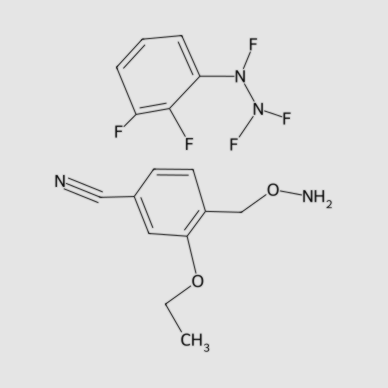 CCOc1cc(C#N)ccc1CON.Fc1cccc(N(F)N(F)F)c1F